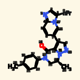 CCCc1cnc2ccc(-c3cnn4c3C(=O)N(c3ccc(C)cc3)C[C@@H]4C)cn12